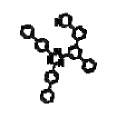 c1ccc(-c2ccc(-c3nc(-c4ccc(-c5ccccc5)cc4)nc(-c4cc(-c5ccccc5)cc(-c5cccc(-c6cccnc6)c5)c4)n3)cc2)cc1